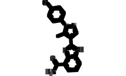 Cc1c(-c2nc3c(C(N)=O)cccc3[nH]2)cnn1-c1ccc(Cl)cc1